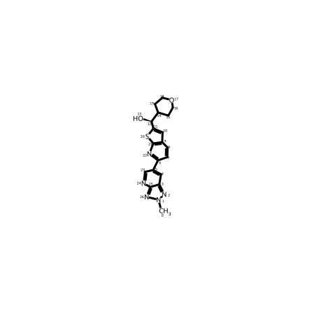 Cn1nc2cc(-c3ccc4cc([C@@H](O)C5CCOCC5)sc4n3)cnc2n1